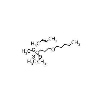 CC=CC.CCCCCOCCC[Si](OC)(OC)OC